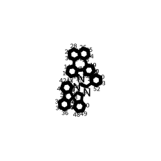 c1ccc(-c2nc3c(nc2-n2c4cccc5c4c4c(cccc42)-c2cccc4cccc-5c24)C2(c4ccccc4-c4ccccc42)c2ccccc2-3)cc1